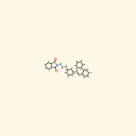 O=C1c2ccccc2C(=O)N1CCCc1cccc(C=Cc2ccccc2-c2ccccc2)c1